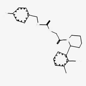 COc1c(C)cccc1C1CCCCN1C(=O)CNC(=O)NCc1ccc(N)cc1